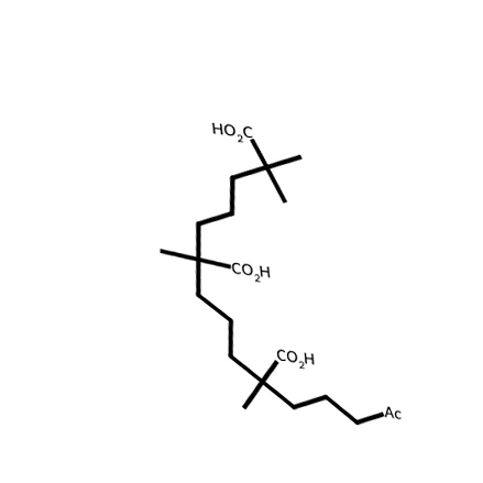 CC(=O)CCCC(C)(CCCC(C)(CCCC(C)(C)C(=O)O)C(=O)O)C(=O)O